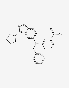 O=C(O)c1cccc(N(Cc2cccnc2)c2ccc3cnn(C4CCCC4)c3c2)c1